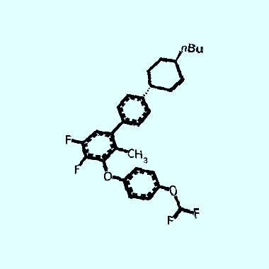 CCCC[C@H]1CC[C@H](c2ccc(-c3cc(F)c(F)c(Oc4ccc(OC(F)F)cc4)c3C)cc2)CC1